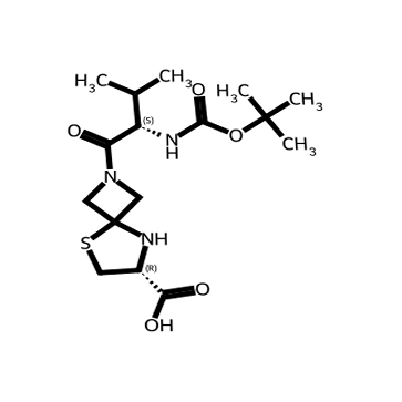 CC(C)[C@H](NC(=O)OC(C)(C)C)C(=O)N1CC2(C1)N[C@H](C(=O)O)CS2